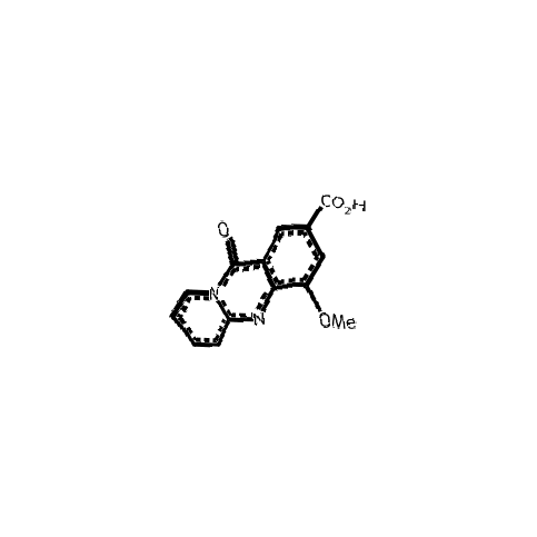 COc1cc(C(=O)O)cc2c(=O)n3ccccc3nc12